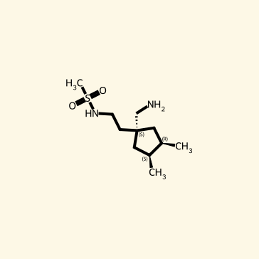 C[C@@H]1C[C@](CN)(CCNS(C)(=O)=O)C[C@@H]1C